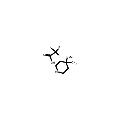 CNC1(C)CCNCC1.O=C(O)C(F)(F)F